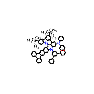 CC(C)(C)c1ccc2c(c1)c1cc(C(C)(C)C)cc3c1n2B1c2cc4cc5c6ccccc6c6ccccc6c5cc4cc2N(c2cc(-c4ccccc4)cc(-c4ccccc4)c2)c2cc(N(c4ccccc4)c4ccccc4)cc-3c21